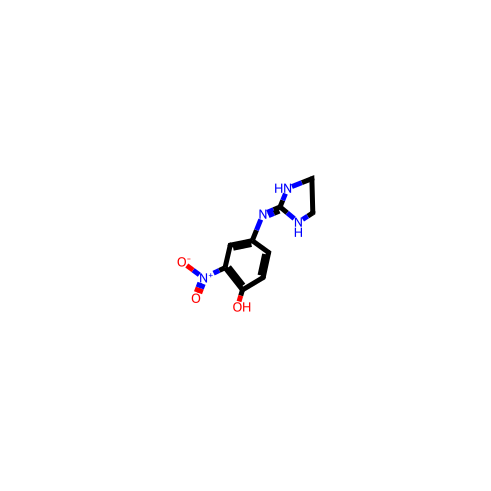 O=[N+]([O-])c1cc(N=C2NCCN2)ccc1O